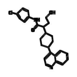 O=C(Nc1ccc(Cl)cc1)C(CCO)C1CCC(c2ccnc3ccccc23)CC1